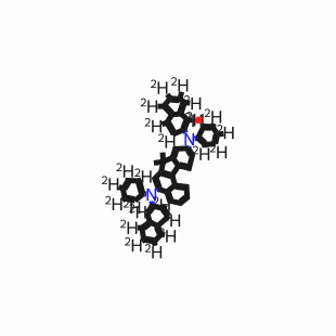 [2H]c1c([2H])c([2H])c(N(c2ccc3c(c2)C(C)(C)c2cc(N(c4c([2H])c([2H])c([2H])c([2H])c4[2H])c4c([2H])c([2H])c5c([2H])c([2H])c([2H])c([2H])c5c4[2H])c4ccccc4c2-3)c2c([2H])c([2H])c3c([2H])c([2H])c([2H])c([2H])c3c2[2H])c([2H])c1[2H]